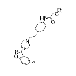 CCOCC(=O)N[C@H]1CC[C@H](CCN2CCN(c3noc4ccc(F)cc34)CC2)CC1